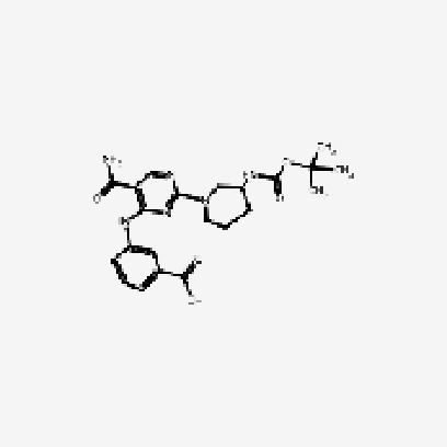 CC(C)(C)OC(=O)N[C@H]1CCCN(c2ncc(C(N)=O)c(Nc3cccc(C(=O)O)c3)n2)C1